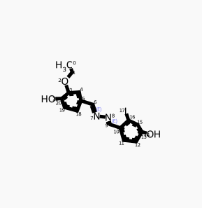 CCOc1cc(/C=N/N=C/c2ccc(O)cc2I)ccc1O